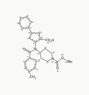 Cc1ccc(C(=O)N(c2cc(-c3ccccc3)sc2C(=O)O)C2CCN(C(=O)OC(C)(C)C)CC2)cc1